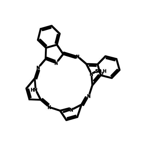 O=S(=O)(O)n1c2nc3nc(nc4ccc(nc5nc(nc1c1ccccc12)-c1ccccc1-5)[nH]4)C=C3